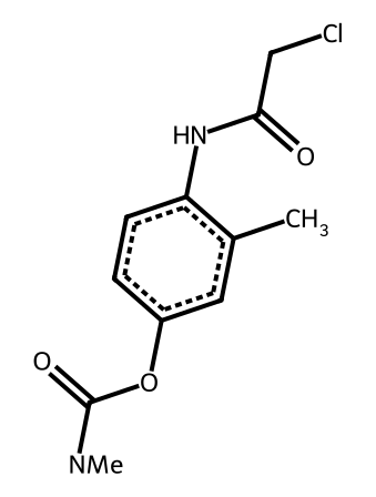 CNC(=O)Oc1ccc(NC(=O)CCl)c(C)c1